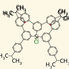 CC(C)c1ccc(-c2cc(-c3ccc(C(C)C)cc3)cc([Si](Cl)(c3cc(-c4ccc(C(C)C)cc4)cc(-c4ccc(C(C)C)cc4)c3)c3cc(-c4ccc(C(C)C)cc4)cc(-c4ccc(C(C)C)cc4)c3)c2)cc1